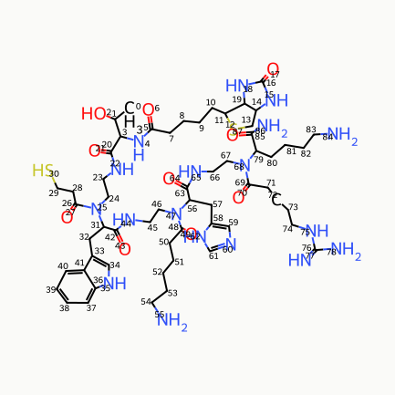 CC(O)C(NC(=O)CCCCC1SCC2NC(=O)NC21)C(=O)NCCN(C(=O)CCS)C(Cc1c[nH]c2ccccc12)C(=O)NCCN(C(=O)CCCCCN)C(Cc1cnc[nH]1)C(=O)NCCN(C(=O)CCCCNC(=N)N)C(CCCCN)C(N)=O